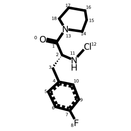 O=C([C@@H](Cc1ccc(F)cc1)NCl)N1CCCCC1